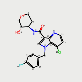 O=C(N[C@@H]1CCOC[C@H]1O)c1cn(Cc2ccc(F)cc2)c2c(Cl)ccnc12